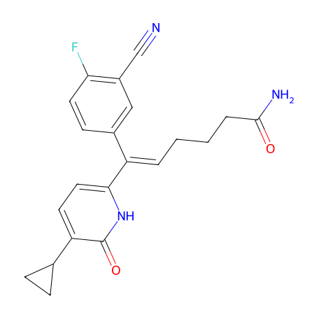 N#Cc1cc(/C(=C\CCCC(N)=O)c2ccc(C3CC3)c(=O)[nH]2)ccc1F